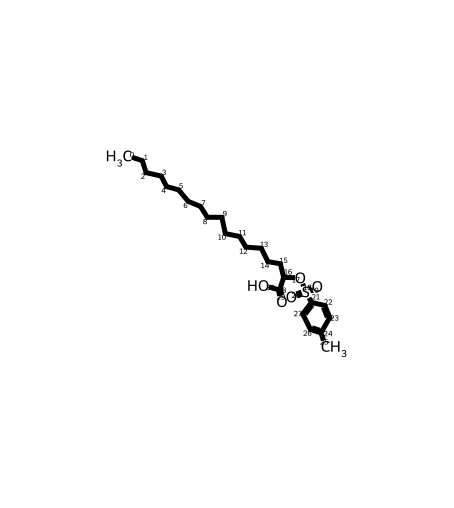 CCCCCCCCCCCCCCCCC(OS(=O)(=O)c1ccc(C)cc1)C(=O)O